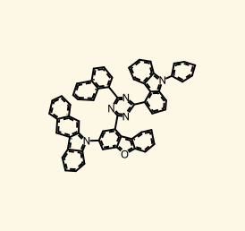 c1ccc(-n2c3ccccc3c3c(-c4nc(-c5cccc6ccccc56)nc(-c5cc(-n6c7ccccc7c7cc8ccccc8cc76)cc6oc7ccccc7c56)n4)cccc32)cc1